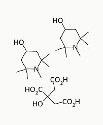 CN1C(C)(C)CC(O)CC1(C)C.CN1C(C)(C)CC(O)CC1(C)C.O=C(O)CC(O)(CC(=O)O)C(=O)O